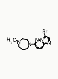 CN1CCCN(c2ccc3ncc(Br)n3n2)CC1